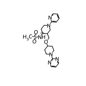 CS(=O)(=O)N[C@H]1CCN(c2ccccn2)CC1COC1CCN(c2ncccn2)CC1